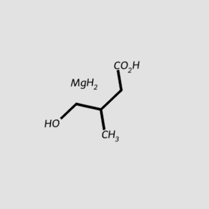 CC(CO)CC(=O)O.[MgH2]